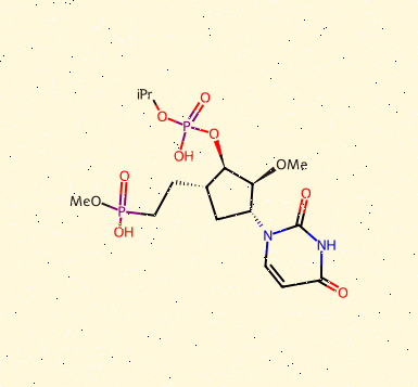 CO[C@@H]1[C@H](OP(=O)(O)OC(C)C)[C@@H](CCP(=O)(O)OC)C[C@H]1n1ccc(=O)[nH]c1=O